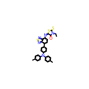 CCN1C(=O)/C(=N\c2ccc(-c3ccc(N(c4ccc(C)cc4)c4ccc(C)cc4)cc3)c3nsnc23)SC1=S